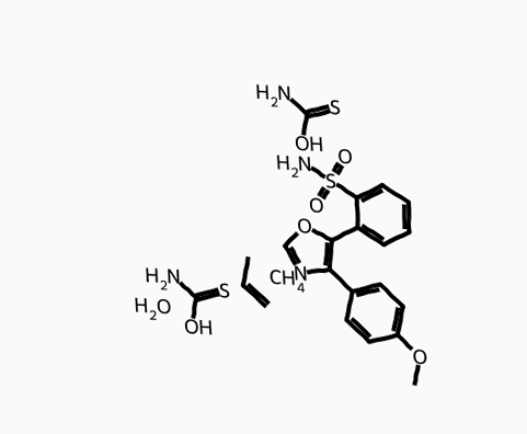 C.C=CC.COc1ccc(-c2ncoc2-c2ccccc2S(N)(=O)=O)cc1.NC(O)=S.NC(O)=S.O